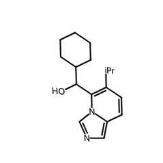 CC(C)c1ccc2cncn2c1C(O)C1CCCCC1